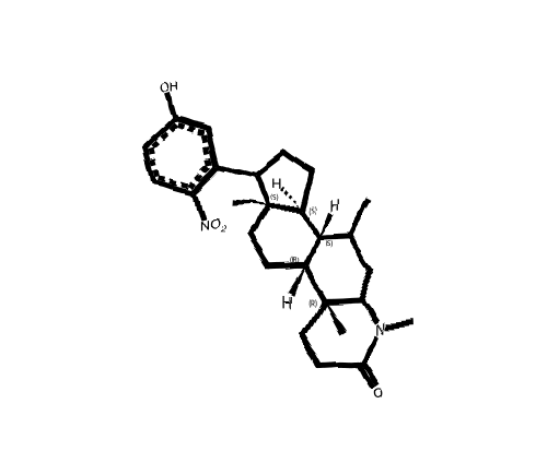 CC1CC2N(C)C(=O)CC[C@]2(C)[C@@H]2CC[C@]3(C)C(c4cc(O)ccc4[N+](=O)[O-])CC[C@H]3[C@H]12